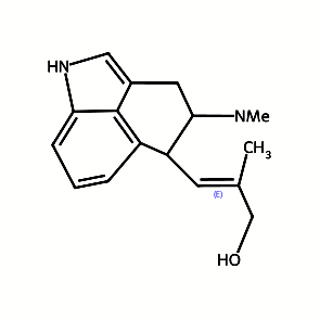 CNC1Cc2c[nH]c3cccc(c23)C1/C=C(\C)CO